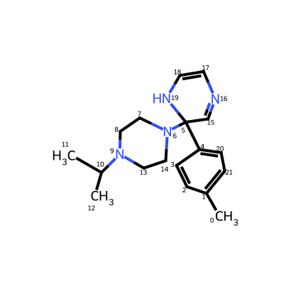 Cc1ccc(C2(N3CCN(C(C)C)CC3)C=NC=CN2)cc1